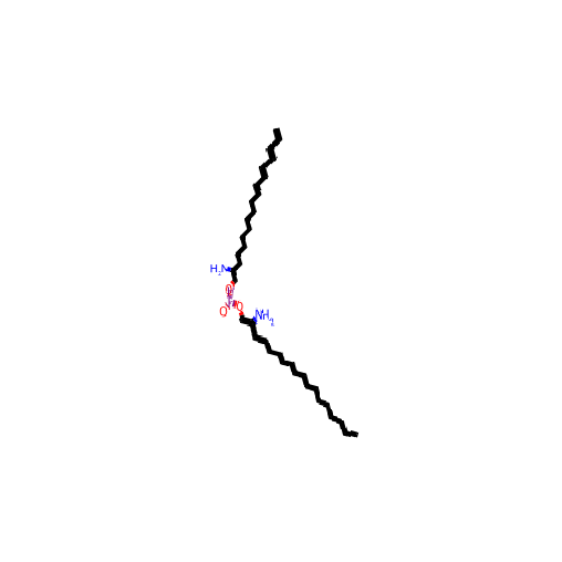 CCCCCCCCCCCCCCCCC(N)CO[PH](=O)OCC(N)CCCCCCCCCCCCCCCC